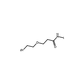 CC(C)CCOCCC(=O)NI